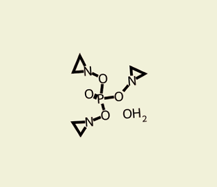 O.O=P(ON1CC1)(ON1CC1)ON1CC1